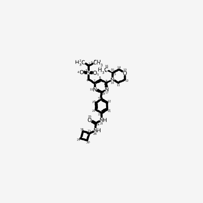 CC(C)S(=O)(=O)Cc1cc(N2CCOC[C@@H]2C)nc(-c2ccc(NC(=O)NC3CCC3)cc2)n1